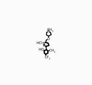 Cc1cc(C(F)(F)F)cc(O)c1-c1ccc(COC2CCN(C)CC2)nn1.Cl